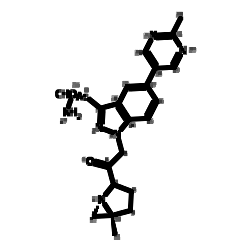 CC(=O)c1nn(CC(=O)C2CC[C@]3(C)C[N@]23)c2ccc(-c3cnc(C)nc3)cc12.NC=O